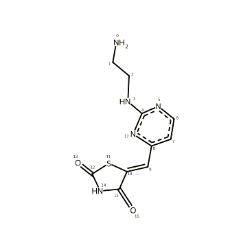 NCCNc1nccc(/C=C2\SC(=O)NC2=O)n1